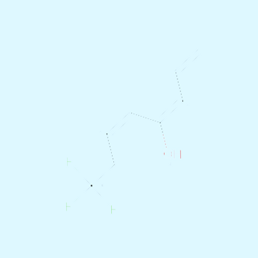 C=C/C=C(O)\C=C/CC(F)(F)F